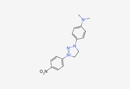 CN(C)c1ccc(N2CC[N+](c3ccc([N+](=O)[O-])cc3)=N2)cc1